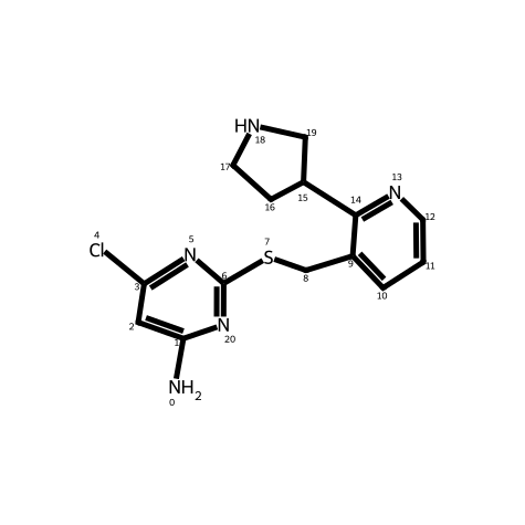 Nc1cc(Cl)nc(SCc2cccnc2C2CCNC2)n1